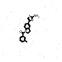 Cc1cccc(C(=O)N2CCc3cc(-c4csc(N)n4)ccc32)c1